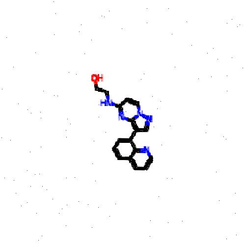 OCCNc1ccn2ncc(-c3cccc4cccnc34)c2n1